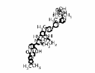 C=CC(=O)Nc1cc(Nc2nc(-c3ccnc(N4CCn5c(cc6c5CC(C)(C)C6)C4=O)c3CO)cn(C)c2=O)ccc1N1CCN(C2CCN(c3ccnc(C(C)(C)NP(=O)(O)O)c3)[C@@H](C)C2)C[C@@H]1C